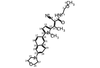 COCCNC(=O)/C(C#N)=C(\C)c1ccc(-c2ccc3cc(N4CCOCC4)ccc3c2)n1C